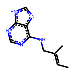 C/C=C(\C)CNc1ncnc2[nH]cnc12